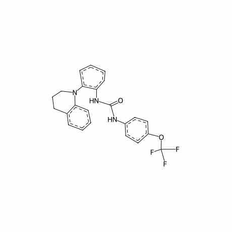 O=C(Nc1ccc(OC(F)(F)F)cc1)Nc1ccccc1N1CCCc2ccccc21